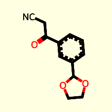 N#CCC(=O)c1cccc(C2OCCO2)c1